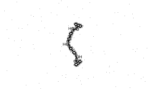 CC(C)(c1ccc(OCC(O)COC(=O)c2c3ccccc3cc3ccccc23)cc1)c1ccc(OCC(O)COc2ccc(C(C)(C)c3ccc(OCC(O)COC(=O)c4c5ccccc5cc5ccccc45)cc3)cc2)cc1